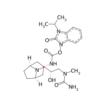 CC(C)n1c(=O)n(OC(=O)N[C@@H]2C[C@H]3CC[C@@H](C2)N3C[C@@H](O)CN(C)C(N)=O)c2ccccc21